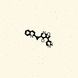 O=C1c2c(-c3ccnnc3)coc2N=CC1C1CC1c1ccc2ccccc2n1